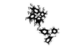 Fc1c(F)c(F)[c]([Ga-]([c]2c(F)c(F)c(F)c(F)c2F)([c]2c(F)c(F)c(F)c(F)c2F)[c]2c(F)c(F)c(F)c(F)c2F)c(F)c1F.Fc1ccc([S+](c2ccccc2)c2ccc(F)cc2)cc1